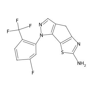 Nc1nc2c(s1)-c1c(cnn1-c1cc(F)ccc1C(F)(F)F)C2